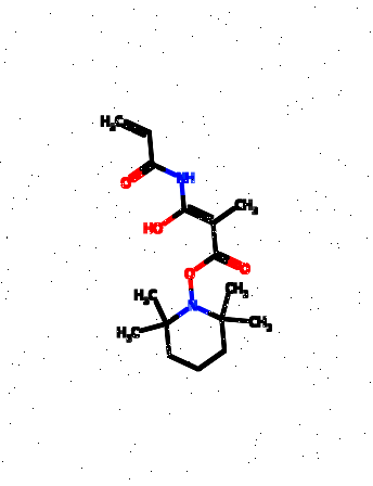 C=CC(=O)NC(O)=C(C)C(=O)ON1C(C)(C)CCCC1(C)C